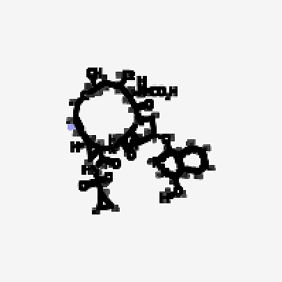 CCOc1nnc(O[C@@H]2C[C@H]3C(=O)N[C@]4(C(=O)NS(=O)(=O)C5CC5)C[C@H]4/C=C\CC[C@@H](C)C[C@@H](CC)[C@H](NC(=O)O)C(=O)N3C2)c2ccccc12